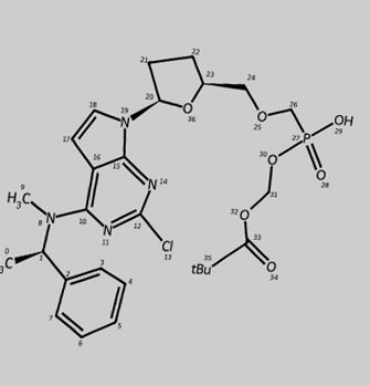 C[C@H](c1ccccc1)N(C)c1nc(Cl)nc2c1ccn2[C@H]1CC[C@@H](COCP(=O)(O)OCOC(=O)C(C)(C)C)O1